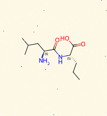 CCC[C@H](NC(=O)[C@@H](N)CC(C)C)C(=O)O